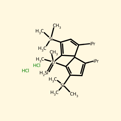 CC(C)C1=CC([Si](C)(C)C)=[C]([Zr]([CH3])([CH3])(=[SiH2])[C]2=C([Si](C)(C)C)C=C(C(C)C)C2)C1.Cl.Cl